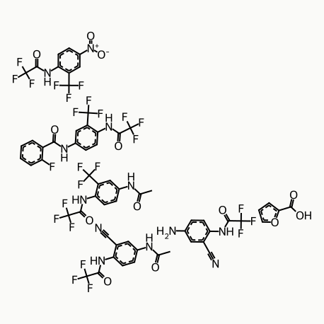 CC(=O)Nc1ccc(NC(=O)C(F)(F)F)c(C#N)c1.CC(=O)Nc1ccc(NC(=O)C(F)(F)F)c(C(F)(F)F)c1.N#Cc1cc(N)ccc1NC(=O)C(F)(F)F.O=C(Nc1ccc(NC(=O)C(F)(F)F)c(C(F)(F)F)c1)c1ccccc1F.O=C(Nc1ccc([N+](=O)[O-])cc1C(F)(F)F)C(F)(F)F.O=C(O)c1ccco1